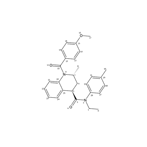 CCN(C(=O)[C@@H]1C[C@@H](C)N(C(=O)c2ccc(OC)cc2)c2ccccc21)c1ccc(C)cc1